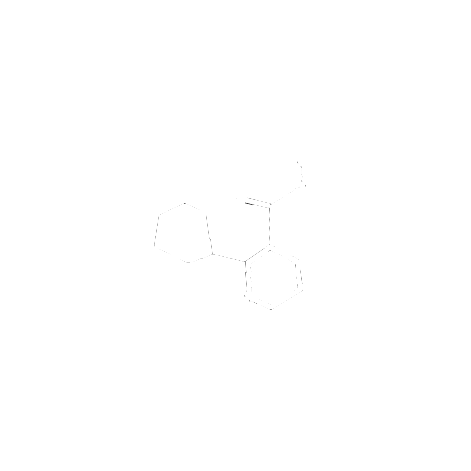 NNC(=O)c1cccnc1C1CCCCC1